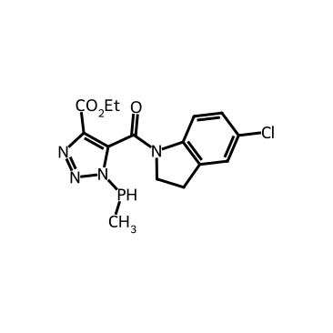 CCOC(=O)c1nnn(PC)c1C(=O)N1CCc2cc(Cl)ccc21